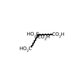 O=C(O)CCCCCCCCCCC(CCCCCCCCCCC(=O)O)(C(=O)O)C(=O)O